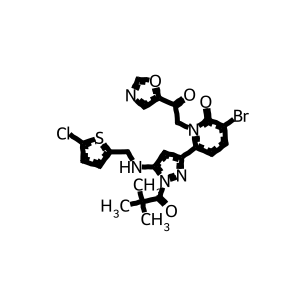 CC(C)(C)C(=O)n1nc(-c2ccc(Br)c(=O)n2CC(=O)c2cnco2)cc1NCc1ccc(Cl)s1